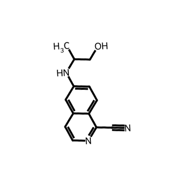 CC(CO)Nc1ccc2c(C#N)nccc2c1